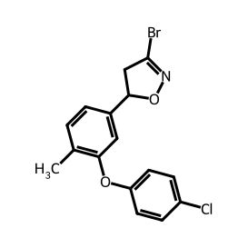 Cc1ccc(C2CC(Br)=NO2)cc1Oc1ccc(Cl)cc1